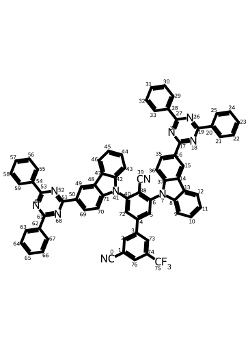 N#Cc1cc(-c2cc(-n3c4ccccc4c4cc(-c5nc(-c6ccccc6)nc(-c6ccccc6)n5)ccc43)c(C#N)c(-n3c4ccccc4c4cc(-c5nc(-c6ccccc6)nc(-c6ccccc6)n5)ccc43)c2)cc(C(F)(F)F)c1